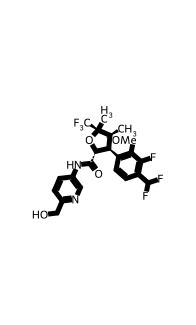 COc1c([C@H]2[C@H](C(=O)Nc3ccc(CO)nc3)O[C@@](C)(C(F)(F)F)[C@H]2C)ccc(C(F)F)c1F